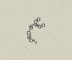 CCC(=O)Cc1cccc(C2CCN(Cc3cn(-c4cccc(Cl)c4)c4cc(Cl)ccc34)CC2)c1